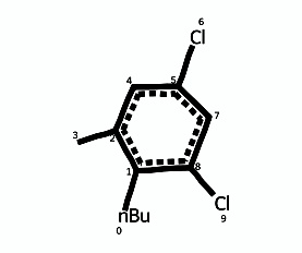 CCCCc1c(C)cc(Cl)cc1Cl